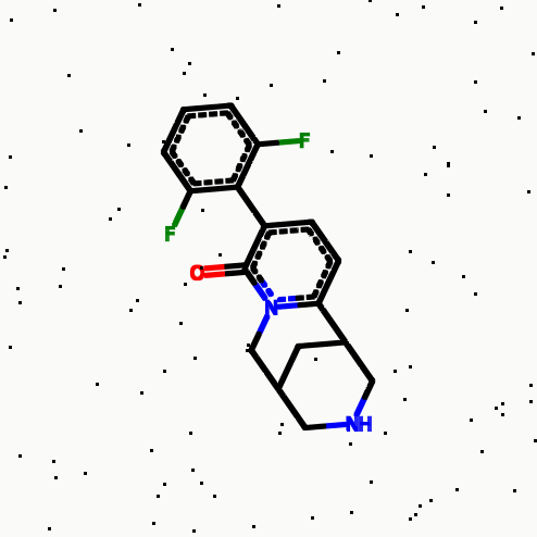 O=c1c(-c2c(F)cccc2F)ccc2n1CC1CNCC2C1